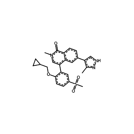 Cc1n[nH]cc1-c1ccc2c(=O)n(C)cc(-c3cc(S(C)(=O)=O)ccc3OCC3CC3)c2c1